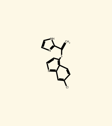 C=C(Sc1ccnc2cc(Cl)ccc12)c1ncc[nH]1